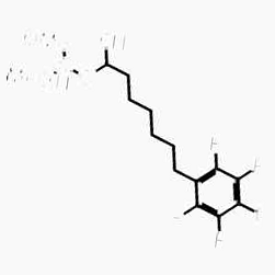 CO[SiH](OC)OC(C)CCCCCCc1c(F)c(F)c(F)c(F)c1F